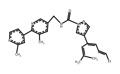 CC/C=C/C=C(\C=C(C)C)c1cnn(C(=O)NCc2cnc(-c3ccnc(C)c3)c(C)c2)c1